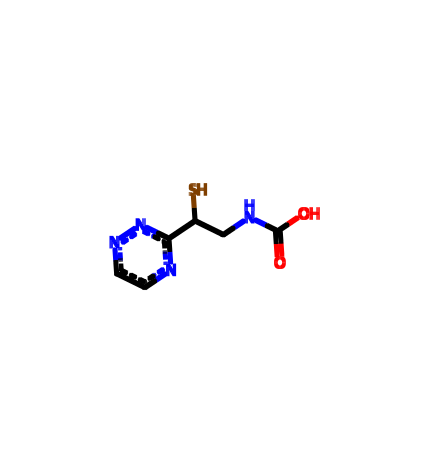 O=C(O)NCC(S)c1nccnn1